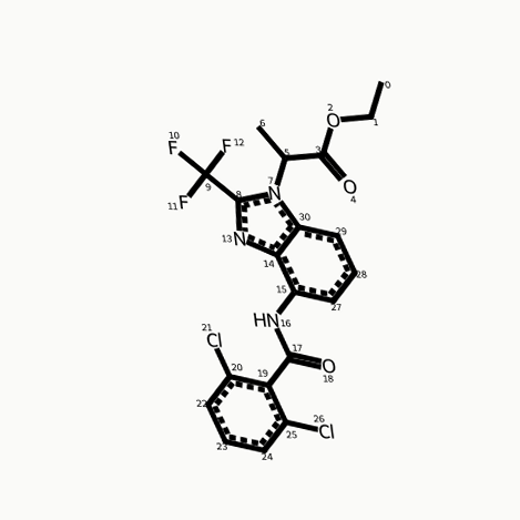 CCOC(=O)C(C)n1c(C(F)(F)F)nc2c(NC(=O)c3c(Cl)cccc3Cl)cccc21